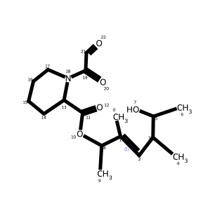 C/C(=C\C(C)C(C)O)C(C)OC(=O)C1CCCCN1C(=O)C=O